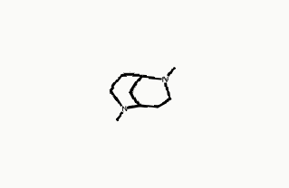 CN1CCC2CC1CCN2C